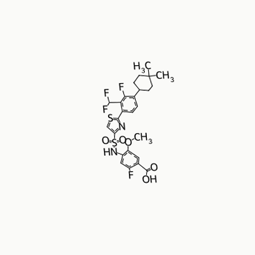 COc1cc(C(=O)O)c(F)cc1NS(=O)(=O)c1csc(-c2ccc(C3CCC(C)(C)CC3)c(F)c2C(F)F)n1